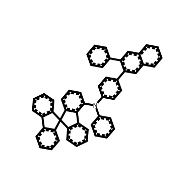 c1ccc(-c2cc3ccccc3cc2-c2ccc(N(c3ccccc3)c3cccc4c3-c3ccccc3C43c4ccccc4-c4ccccc43)cc2)cc1